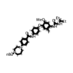 CCCCN1CCCN(c2ccc(C(=O)Nc3ccc(Oc4cc(F)c(NC(=O)NC(CC)CC)cc4OC)cc3)cc2)CC1